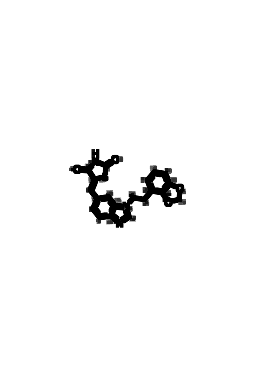 O=C1NC(=O)C(=Cc2ccc3ncn(CCc4cccc5c4OCO5)c3c2)S1